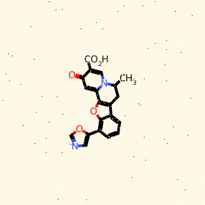 CC1Cc2c(oc3c(-c4cnco4)cccc23)-c2cc(=O)c(C(=O)O)cn21